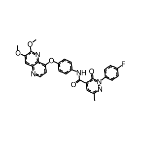 COc1cc2nccc(Oc3ccc(NC(=O)c4cc(C)nn(-c5ccc(F)cc5)c4=O)cc3)c2nc1OC